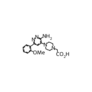 COc1ccccc1-c1cc(N2CCN(CC(=O)O)CC2)c(N)nn1